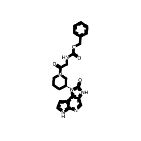 O=C(NCC(=O)N1CCC[C@@H](n2c(=O)[nH]c3cnc4[nH]ccc4c32)C1)OCc1ccccc1